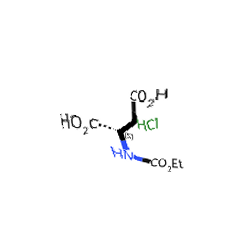 CCOC(=O)N[C@@H](CC(=O)O)C(=O)O.Cl